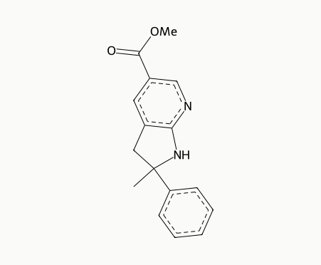 COC(=O)c1cnc2c(c1)CC(C)(c1ccccc1)N2